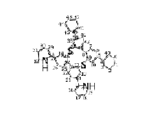 C1=CCCC(c2ccc3c(c2)Sc2cc(C4=CC=CCN4)ccc2-c2ccc(C4=CC=CCN4)cc2Sc2cc(-c4ccccc4)ccc2-3)=C1